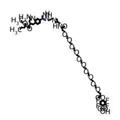 CCCN(OCC)C(=O)C1=Cc2ccc(/C(C=N)=C/NCCN3CC(CNC(=O)CCOCCOCCOCCOCCOCCOCCOCCOCCOCCOCCC(=O)Oc4c(F)c(F)c(S(=O)(=O)O)c(F)c4F)C3)cc2N=C(N)C1